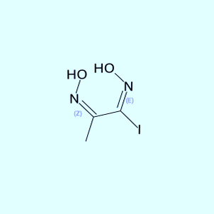 CC(=N/O)/C(I)=N\O